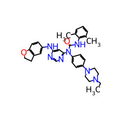 CCN1CCN(c2ccc(N(C(=O)Nc3c(C)cccc3C)c3cc(Nc4ccc5c(c4)CCO5)ncn3)cc2)CC1